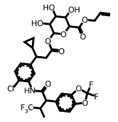 C=CCOC(=O)C1OC(OC(=O)CC(c2ccc(Cl)c(NC(=O)C(c3ccc4c(c3)OC(F)(F)O4)C(C)C(F)(F)F)c2)C2CC2)C(O)C(O)C1O